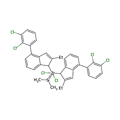 CCC1=Cc2c(-c3cccc(Cl)c3Cl)cccc2[CH]1[Zr]([Cl])([Cl])([CH]1C(CC)=Cc2c(-c3cccc(Cl)c3Cl)cccc21)=[Si](C)C